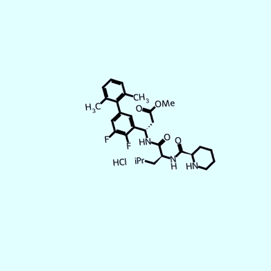 COC(=O)C[C@H](NC(=O)[C@H](CC(C)C)NC(=O)[C@H]1CCCCN1)c1cc(-c2c(C)cccc2C)cc(F)c1F.Cl